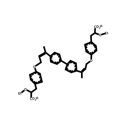 CCOC(Cc1ccc(OC/C=C(/C)c2ccc(-c3ccc(/C(C)=C\COc4ccc(CC(OCC)C(=O)O)cc4)cc3)cc2)cc1)C(=O)O